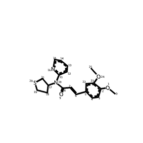 COc1ccc(/C=C/C(=O)N(c2ccccn2)C2CCSC2)cc1OC